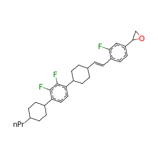 CCCC1CCC(c2ccc(C3CCC(/C=C/c4ccc(C5CO5)cc4F)CC3)c(F)c2F)CC1